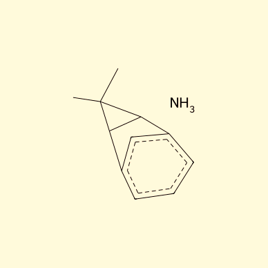 CC1(C)C2c3cccc(c3)C21.N